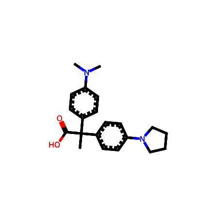 CN(C)c1ccc(C(C)(C(=O)O)c2ccc(N3CCCC3)cc2)cc1